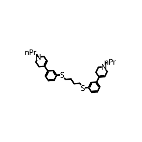 CCCN1CC=C(c2cccc(SCCCCSc3cccc(C4=CCN(CCC)CC4)c3)c2)CC1